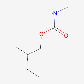 CCC(C)COC(=O)[N]C